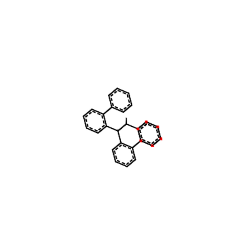 CC([C](c1ccccc1-c1ccccc1)c1ccccc1-c1ccccc1)c1ccccc1